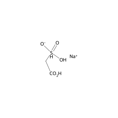 O=C(O)C[SH](=O)([O-])O.[Na+]